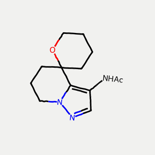 CC(=O)Nc1cnn2c1C1(CCCCO1)CCC2